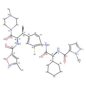 CCn1nccc1C(=O)N[C@H](C(=O)Nc1ccc([C@H](C)[C@@H](NC(=O)c2cc(C)no2)C(=O)N2CCN(C)CC2)cc1F)C1CCCCC1